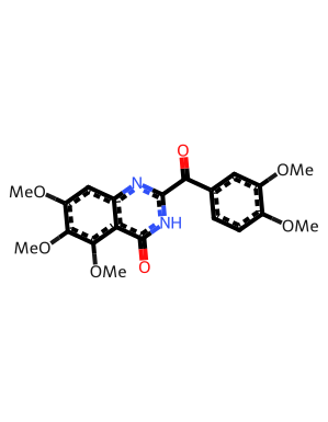 COc1ccc(C(=O)c2nc3cc(OC)c(OC)c(OC)c3c(=O)[nH]2)cc1OC